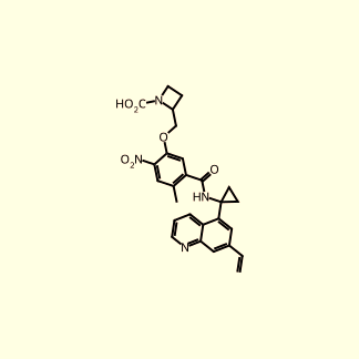 C=Cc1cc(C2(NC(=O)c3cc(OCC4CCN4C(=O)O)c([N+](=O)[O-])cc3C)CC2)c2cccnc2c1